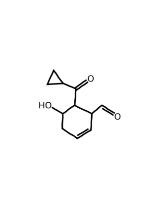 O=CC1C=CCC(O)C1C(=O)C1CC1